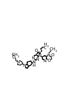 C/C=C\Cn1c(=O)c2cnc(Nc3ccc4c(ccn4C4CCN(CCOC)CC4)c3)nc2n1-c1cnc2c(c1)N(CCC)C(=O)CO2